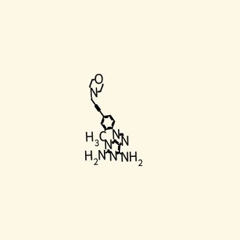 Cc1cc(C#CCN2CCOCC2)ccc1-n1cnc2c(N)nc(N)nc21